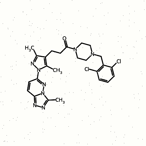 Cc1nn(-c2ccc3nnc(C)n3n2)c(C)c1CCC(=O)N1CCN(Cc2c(Cl)cccc2Cl)CC1